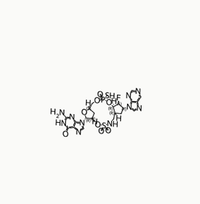 Nc1nc2c(ncn2[C@@H]2O[C@@H]3CO[P@@](=O)(S)O[C@@H]4[C@@H](CNS(=O)(=O)O[C@@H]2C3)C[C@@H](n2cnc3cncnc32)[C@@H]4F)c(=O)[nH]1